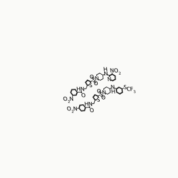 O=C(NCc1ccc(S(=O)(=O)N2CCC(Nc3cccc(SC(F)(F)F)c3)CC2)s1)c1ccc([N+](=O)[O-])cc1.O=C(NCc1ccc(S(=O)(=O)N2CCC(Nc3ncccc3[N+](=O)[O-])CC2)s1)c1cccc([N+](=O)[O-])c1